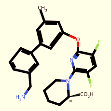 Cc1cc(Oc2nc(N3CCCC[C@@H]3C(=O)O)c(F)cc2F)cc(-c2cccc(CN)c2)c1